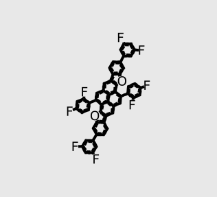 Fc1cc(F)cc(-c2ccc3c(c2)oc2c3cc3cc(-c4ccc(F)cc4F)c4c5oc6cc(-c7cc(F)cc(F)c7)ccc6c5cc5cc(-c6ccc(F)cc6F)c2c3c54)c1